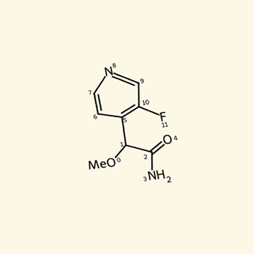 COC(C(N)=O)c1ccncc1F